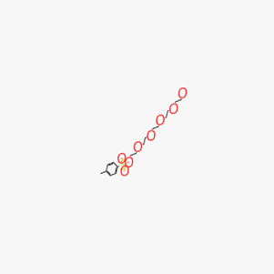 Cc1ccc(S(=O)(=O)OCCOCCOCCOCCOCC=O)cc1